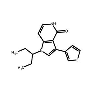 CCC(CC)n1cc(-c2ccsc2)c2c(=O)[nH]ccc21